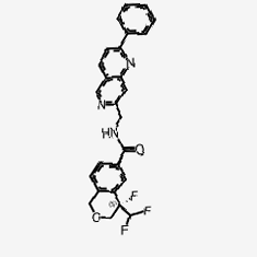 O=C(NCc1cc2nc(-c3ccccc3)ccc2cn1)c1ccc2c(c1)[C@@](F)(C(F)F)COC2